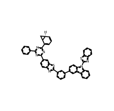 C1=C[C@@H]2CC2C(c2nc(-c3ccccc3)nc(-c3ccc4nc(-c5cccc(-c6ccc7c(c6)c6ccccc6n7-c6nc7ccccc7s6)c5)sc4c3)n2)=C1